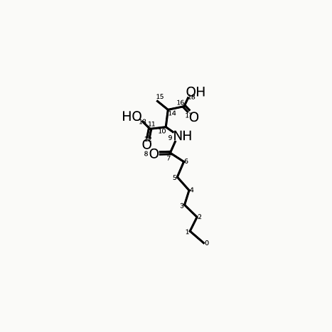 CCCCCCCC(=O)NC(C(=O)O)C(C)C(=O)O